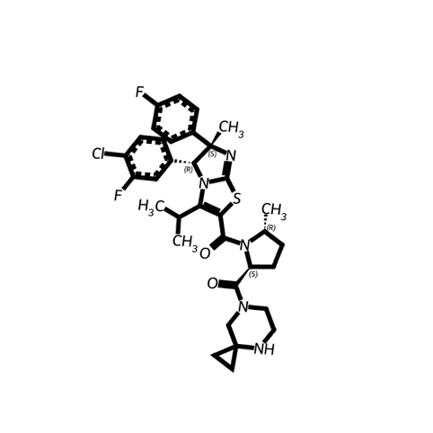 CC(C)C1=C(C(=O)N2[C@H](C)CC[C@H]2C(=O)N2CCNC3(CC3)C2)SC2=N[C@@](C)(c3ccc(F)cc3)[C@@H](c3ccc(Cl)c(F)c3)N21